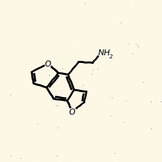 NCCc1c2ccoc2cc2ccoc12